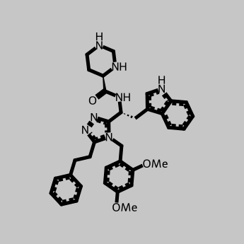 COc1ccc(Cn2c(CCc3ccccc3)nnc2[C@@H](Cc2c[nH]c3ccccc23)NC(=O)[C@H]2CCNCN2)c(OC)c1